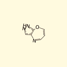 C1=COc2[nH]ncc2N=C1